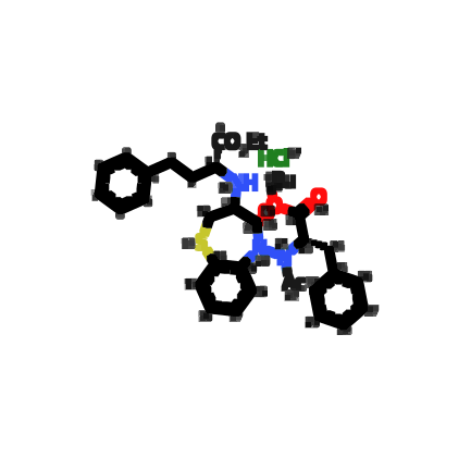 CCOC(=O)[C@@H](CCc1ccccc1)NC1CSc2ccccc2N(N(C(C)=O)[C@@H](Cc2ccccc2)C(=O)OC(C)(C)C)C1=O.Cl